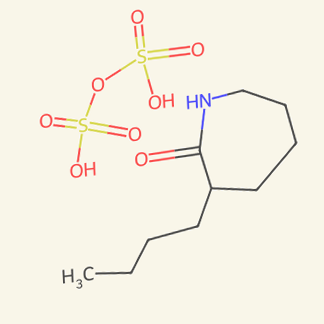 CCCCC1CCCCNC1=O.O=S(=O)(O)OS(=O)(=O)O